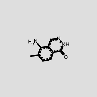 Cc1ccc2c(=O)[nH]ncc2c1N